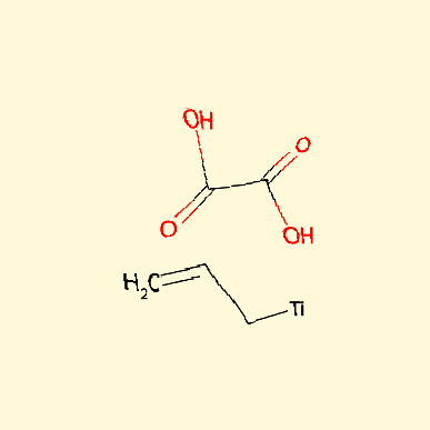 C=C[CH2][Ti].O=C(O)C(=O)O